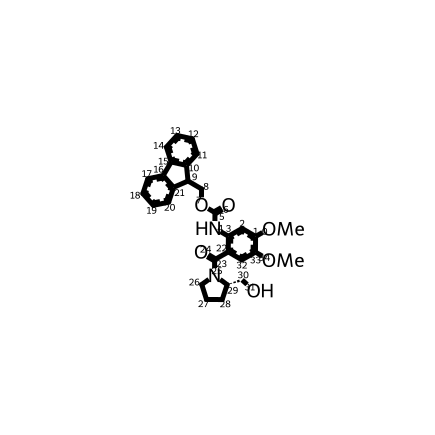 COc1cc(NC(=O)OCC2c3ccccc3-c3ccccc32)c(C(=O)N2CCC[C@H]2CO)cc1OC